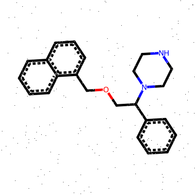 c1ccc(C(COCc2cccc3ccccc23)N2CCNCC2)cc1